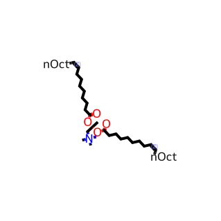 CCCCCCCC/C=C\CCCCCCCC(=O)OC(C)(C[N+](C)(C)C)OC(=O)CCCCCCC/C=C\CCCCCCCC